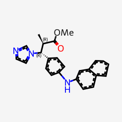 COC(=O)[C@H](C)[C@H](c1ccc(Nc2ccc3ccccc3c2)cc1)n1ccnc1